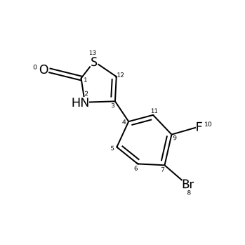 O=c1[nH]c(-c2ccc(Br)c(F)c2)cs1